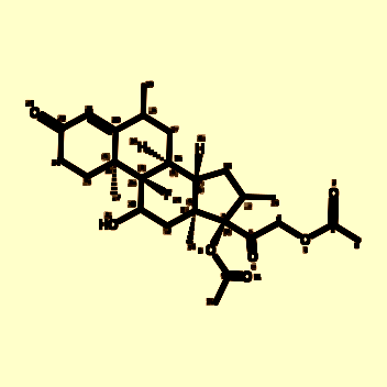 CC(=O)OCC(=O)[C@@]1(OC(C)=O)C(C)C[C@H]2[C@@H]3CC(C)C4=CC(=O)CC[C@]4(C)[C@@]3(F)C(O)C[C@@]21C